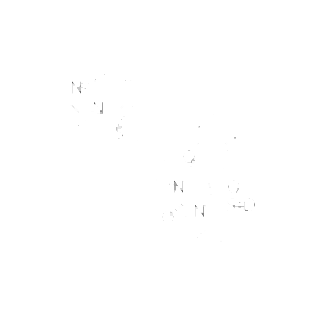 O=c1c(Cc2ccccc2)c2n(c(=O)n1CCCCSc1cccc3nccn13)CCCS2(=O)=O